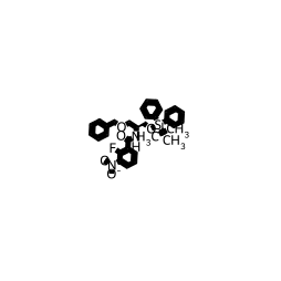 CC(C)(C)[Si](OC[C@H](COCc1ccccc1)NC(=O)c1cccc([N+](=O)[O-])c1F)(c1ccccc1)c1ccccc1